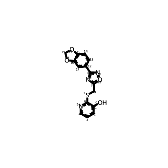 Oc1cccnc1SCc1nc(-c2ccc3c(c2)OCO3)no1